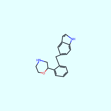 c1ccc(C2CNCCO2)c(Cc2ccc3[nH]ccc3c2)c1